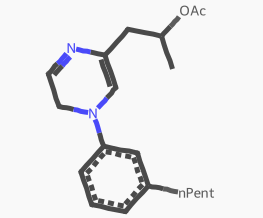 CCCCCc1cccc(N2C=C(CC(C)OC(C)=O)N=CC2)c1